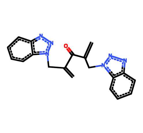 C=C(Cn1nnc2ccccc21)C(=O)C(=C)Cn1nnc2ccccc21